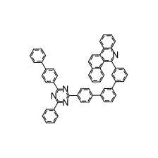 c1ccc(-c2ccc(-c3nc(-c4ccccc4)nc(-c4ccc(-c5cccc(-c6cccc(-c7nc8ccccc8c8ccc9ccccc9c78)c6)c5)cc4)n3)cc2)cc1